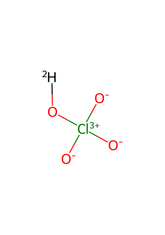 [2H]O[Cl+3]([O-])([O-])[O-]